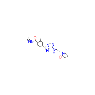 Cc1cc(-c2cnc3c(NCCCN4CCCC4=O)nccn23)ccc1C(=O)NC1CC1